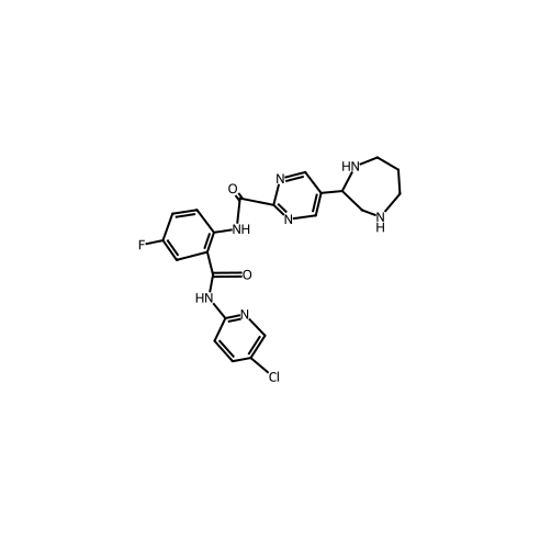 O=C(Nc1ccc(F)cc1C(=O)Nc1ccc(Cl)cn1)c1ncc(C2CNCCCN2)cn1